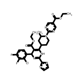 CCOC(=O)C1=C(C2CCN(c3ncc(C(=O)OCC)cn3)C(C)C2)NC(c2nccs2)=NC1c1ccc(F)c(F)c1Cl